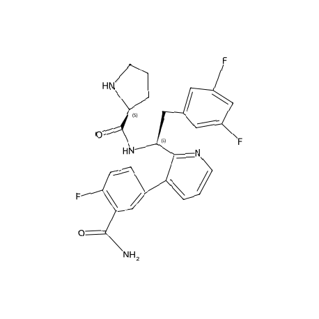 NC(=O)c1cc(-c2cccnc2[C@H](Cc2cc(F)cc(F)c2)NC(=O)[C@@H]2CCCN2)ccc1F